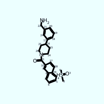 C[SH](C)(=O)c1cccc2cc(C(=O)N3CCC(c4cccc(CN)c4)CC3)ccc12